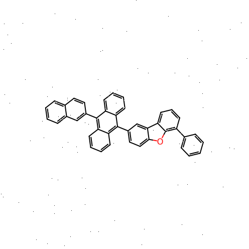 c1ccc(-c2cccc3c2oc2ccc(-c4c5ccccc5c(-c5ccc6ccccc6c5)c5ccccc45)cc23)cc1